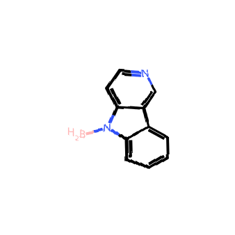 Bn1c2ccccc2c2cnccc21